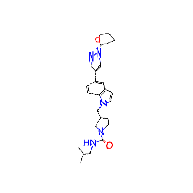 CC(C)CNC(=O)N1CCC(Cn2ccc3cc(-c4cnn(C5CCCCO5)c4)ccc32)C1